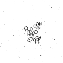 Cc1cccc(NC(=O)c2nc(CN3CCOCC3)c3ccccn23)c1C.O=C(O)C(F)(F)F.O=C(O)C(F)(F)F